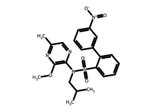 COc1nc(C)cnc1N(CC(C)C)S(=O)(=O)c1ccccc1-c1cccc([N+](=O)[O-])c1